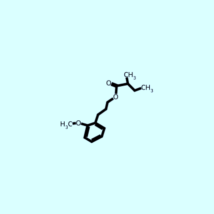 CCC(C)C(=O)OCCCc1ccccc1OC